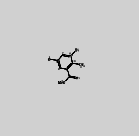 COC(=O)c1cc(Cl)c[n+]([O-])c1C